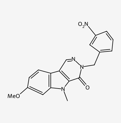 COc1ccc2c3cnn(Cc4cccc([N+](=O)[O-])c4)c(=O)c3n(C)c2c1